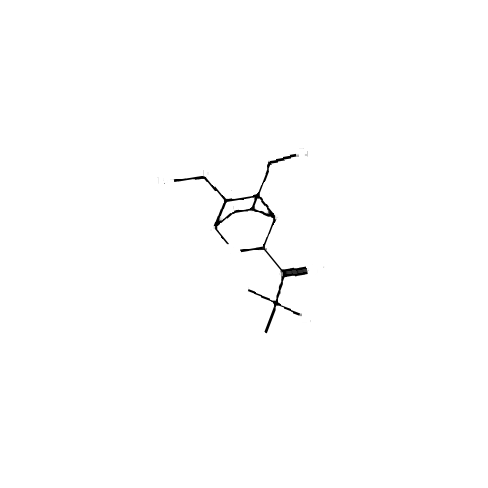 [CH2]CC(C)(C)C(=O)[C]1OC2CC(CBr)C1CC2CBr